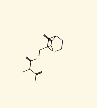 CC(C(=O)O)C(=O)OCC1C(=O)C2CCN1CC2